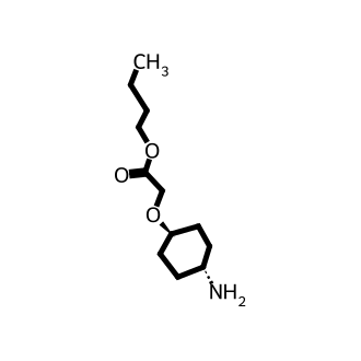 CCCCOC(=O)CO[C@H]1CC[C@H](N)CC1